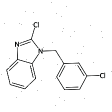 Clc1cccc(Cn2c(Cl)nc3ccccc32)c1